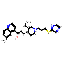 COc1ccc2nccc([C@@H](O)CC[C@@H]3CCN(CCCSc4cnccn4)C[C@@H]3CC(=O)O)c2c1